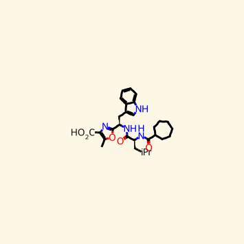 Cc1oc([C@@H](Cc2c[nH]c3ccccc23)NC(=O)[C@H](CC(C)C)NC(=O)C2CCCCCC2)nc1C(=O)O